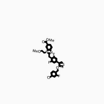 COCCn1c(Cc2c(F)cc(-c3csnc3OCc3ccc(Cl)cc3F)cc2F)nc2ccc(C(=O)OC)cc21